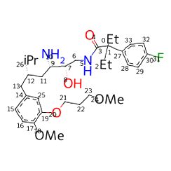 CCC(CC)(C(=O)NC[C@H](O)[C@@H](N)C[C@H](Cc1ccc(OC)c(OCCCOC)c1)C(C)C)c1ccc(F)cc1